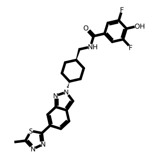 Cc1nnc(-c2ccc3cn([C@H]4CC[C@H](CNC(=O)c5cc(F)c(O)c(F)c5)CC4)nc3c2)s1